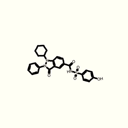 O=C(NS(=O)(=O)c1ccc(O)cc1)c1ccc2c(c1)c(=O)n(-c1ccccc1)n2C1CCCCC1